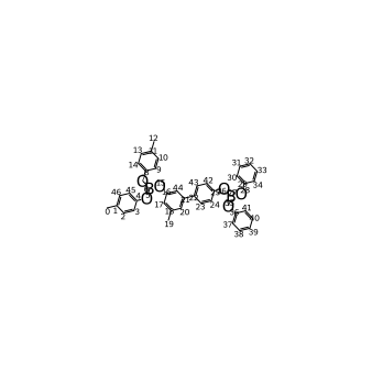 Cc1ccc(OB(Oc2ccc(C)cc2)Oc2cc(C)cc(-c3ccc(OB(Oc4ccccc4)Oc4ccccc4)cc3)c2)cc1